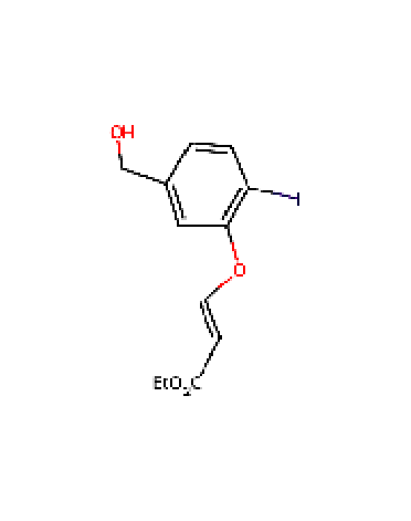 CCOC(=O)C=COc1cc(CO)ccc1I